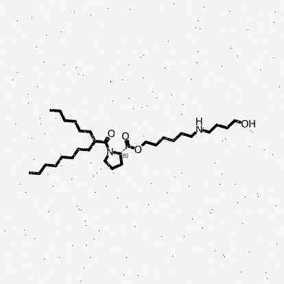 CCCCCCCCC(CCCCCC)C(=O)N1CCC[C@H]1C(=O)OCCCCCCNCCCCO